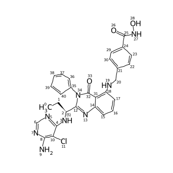 CC[C@H](Nc1ncnc(N)c1Cl)c1nc2cccc(NCc3ccc(C(=O)NO)cc3)c2c(=O)n1-c1ccccc1